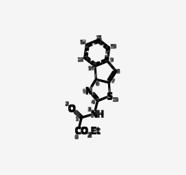 CCOC(=O)C(=O)NC1=NC2C(=Cc3ccccc32)S1